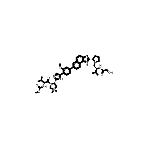 COC(=O)N[C@H](C(=O)N1C[Si](C)(C)C[C@H]1c1ncc(-c2ccc(-c3ccc4c(ccc5nc([C@@H]6CCCN6C[C@@H](NC(=O)CO)C(C)C)[nH]c54)c3)cc2OC)[nH]1)C(C)C